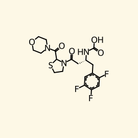 O=C(O)N[C@@H](CC(=O)N1CCSC1C(=O)N1CCOCC1)Cc1cc(F)c(F)cc1F